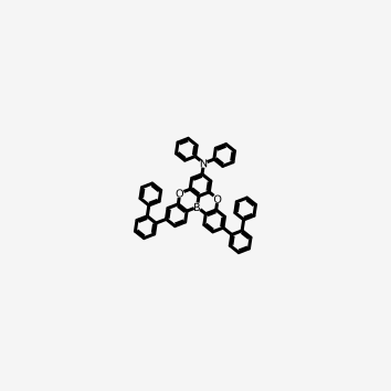 c1ccc(-c2ccccc2-c2ccc3c(c2)Oc2cc(N(c4ccccc4)c4ccccc4)cc4c2B3c2ccc(-c3ccccc3-c3ccccc3)cc2O4)cc1